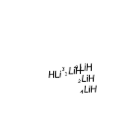 [LiH].[LiH].[LiH].[LiH].[LiH]